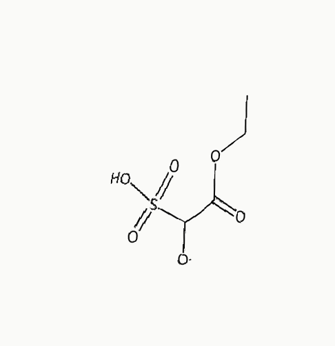 CCOC(=O)C([O])S(=O)(=O)O